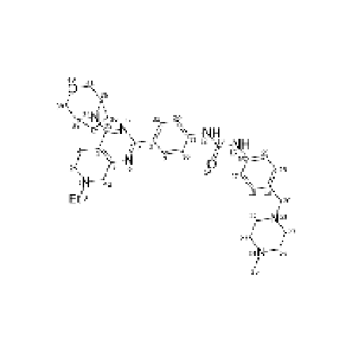 CCN1CCc2c(nc(-c3ccc(NC(=O)Nc4ccc(CN5CCN(C)CC5)cc4)cc3)nc2N2C3CCC2COC3)C1